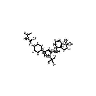 CC(C)NC(=O)OC1CCC(c2cc(Nc3nccc4c3CCS4(=O)=O)n(C(C)(C)C)n2)CC1